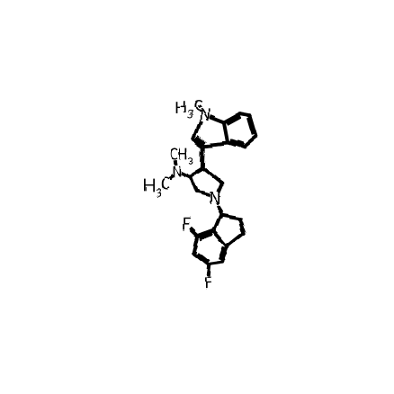 CN(C)C1CN(C2CCc3cc(F)cc(F)c32)CC1c1cn(C)c2ccccc12